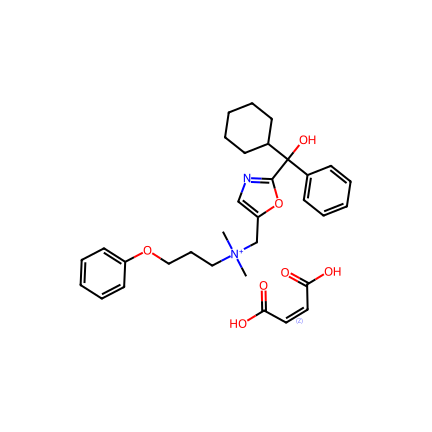 C[N+](C)(CCCOc1ccccc1)Cc1cnc(C(O)(c2ccccc2)C2CCCCC2)o1.O=C(O)/C=C\C(=O)O